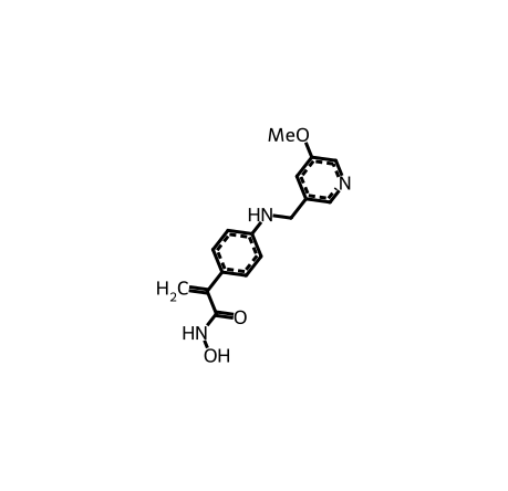 C=C(C(=O)NO)c1ccc(NCc2cncc(OC)c2)cc1